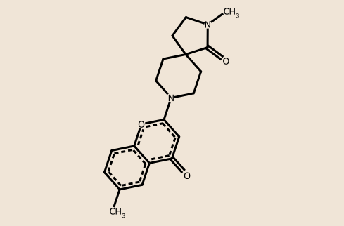 Cc1ccc2oc(N3CCC4(CCN(C)C4=O)CC3)cc(=O)c2c1